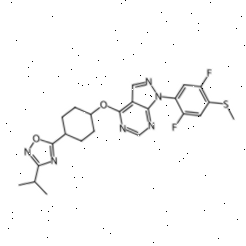 CSc1cc(F)c(-n2ncc3c(OC4CCC(c5nc(C(C)C)no5)CC4)ncnc32)cc1F